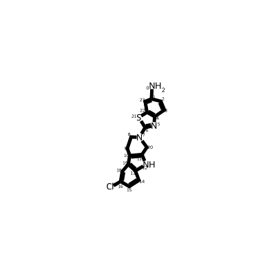 Nc1ccc2nc(N3CCc4c([nH]c5ccc(Cl)cc45)C3)sc2c1